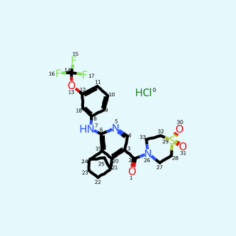 Cl.O=C(c1cnc(Nc2cccc(OC(F)(F)F)c2)c2c1C1CCC2C1)N1CCS(=O)(=O)CC1